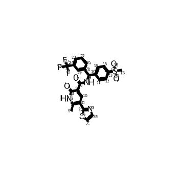 Cc1[nH]c(=O)c(C(=O)NC(c2ccc(S(C)(=O)=O)cc2)c2cccc(C(F)(F)F)c2)cc1-c1ncco1